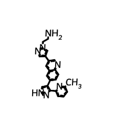 Cc1cccc(-c2n[nH]cc2-c2ccc3ncc(-c4cnn(CCN)c4)cc3c2)n1